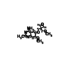 COCC1(COc2cc3c(N)nc(C)nc3cc2OC)COC1